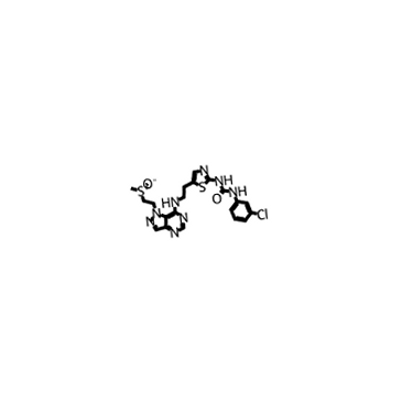 C[S+]([O-])CCn1ncc2ncnc(NCCc3cnc(NC(=O)Nc4cccc(Cl)c4)s3)c21